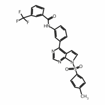 Cc1ccc(S(=O)(=O)n2ccc3c(-c4cccc(NC(=O)c5cccc(C(F)(F)F)c5)c4)ncnc32)cc1